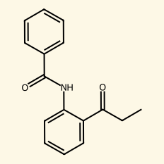 CCC(=O)c1ccccc1NC(=O)c1ccccc1